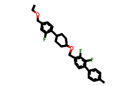 CCOCc1ccc(C2CCC(OCc3ccc(-c4ccc(C)cc4)c(F)c3F)CC2)c(F)c1